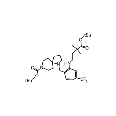 CC(C)(C)OC(=O)N1CCC2(CCCN2Cc2ccc(C(F)(F)F)cc2NCCC(C)(C)C(=O)OC(C)(C)C)CC1